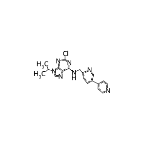 CC(C)n1cnc2c(NCc3ccc(-c4ccncc4)cn3)nc(Cl)nc21